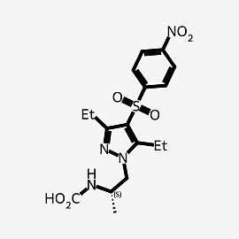 CCc1nn(C[C@H](C)NC(=O)O)c(CC)c1S(=O)(=O)c1ccc([N+](=O)[O-])cc1